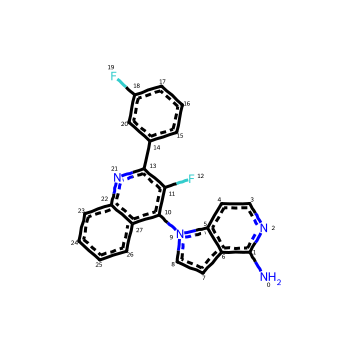 Nc1nccc2c1ccn2-c1c(F)c(-c2cccc(F)c2)nc2ccccc12